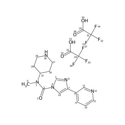 CN(C(=O)n1cnc(-c2cccnc2)c1)C1CCNCC1.O=C(O)C(F)(F)F.O=C(O)C(F)(F)F